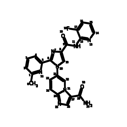 Cc1cccc(-c2nc(C(=O)Nc3ncccc3F)cn2-c2ccc3ncc(C(N)=O)n3c2)n1